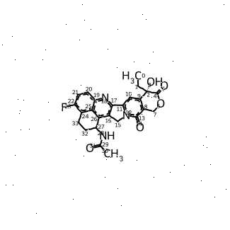 CC[C@@]1(O)C(=O)OCc2c1cc1n(c2=O)Cc2c-1nc1ccc(F)c3c1c2C(NC(C)=O)CC3